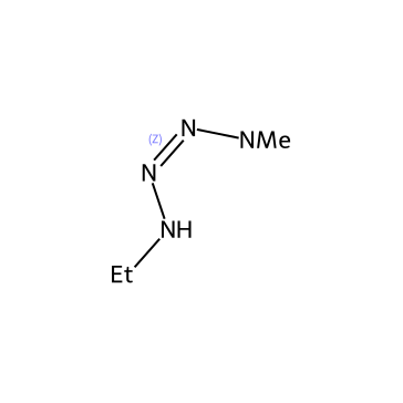 CCN/N=N\NC